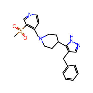 CS(=O)(=O)c1cnccc1CN1CCC(c2[nH]ncc2Cc2ccccc2)CC1